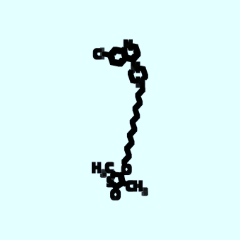 CC1=C(OCCCCCCCCCCCCN2CCN(c3ccnc4cc(Cl)ccc34)CC2)C(C)SC1=O